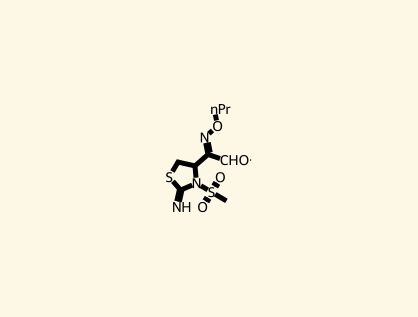 CCCON=C([C]=O)C1CSC(=N)N1S(C)(=O)=O